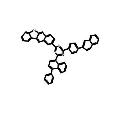 c1ccc(-c2ccc(-c3nc(-c4ccc(-c5ccc6ccccc6c5)cc4)nc(-c4ccc5cc6oc7ccccc7c6cc5c4)n3)c3ccccc23)cc1